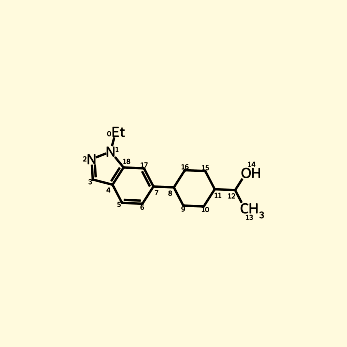 CCn1ncc2ccc(C3CCC(C(C)O)CC3)cc21